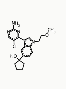 COCCn1cc(-c2nc(N)ncc2Cl)c2cc(C3(O)CCCC3)ccc21